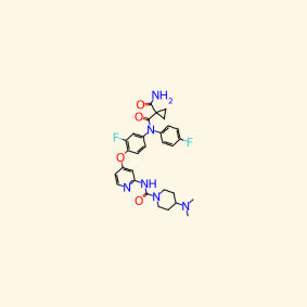 CN(C)C1CCN(C(=O)Nc2cc(Oc3ccc(N(C(=O)C4(C(N)=O)CC4)c4ccc(F)cc4)cc3F)ccn2)CC1